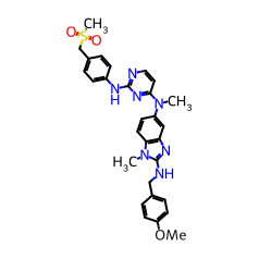 COc1ccc(CNc2nc3cc(N(C)c4ccnc(Nc5ccc(CS(C)(=O)=O)cc5)n4)ccc3n2C)cc1